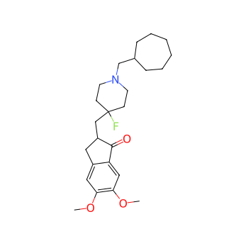 COc1cc2c(cc1OC)C(=O)C(CC1(F)CCN(CC3CCCCCC3)CC1)C2